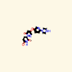 O=C1CCC(n2ncc(Oc3ccc(N4CCNCC4)nc3)cc2=O)C(=O)N1